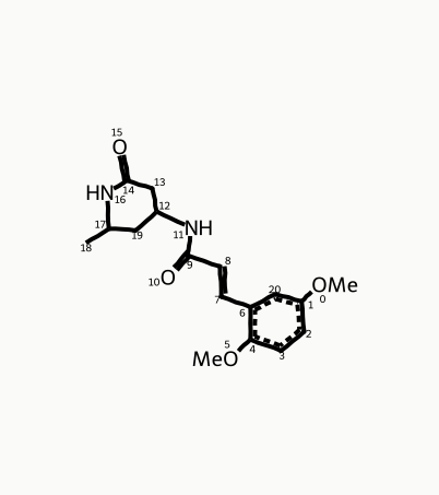 COc1ccc(OC)c(C=CC(=O)NC2CC(=O)NC(C)C2)c1